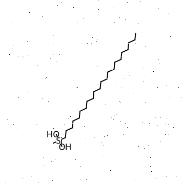 CCCCCCCCCCCCCCCCCCCCCC[Si](C)(O)O